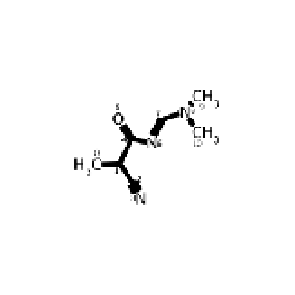 CC(C#N)C(=O)N=CN(C)C